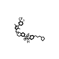 Cc1cc(CN2CCc3cc(S(=O)(=O)Nc4ccc(CCCC5CCCC5)cc4F)ccc3C2)c(C)n1-c1cccc(C(F)(F)F)c1